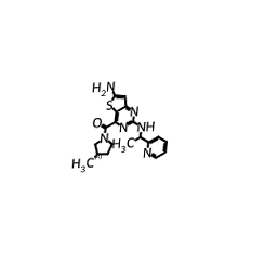 CC(Nc1nc(C(=O)N2CC[C@@H](C)C2)c2sc(N)cc2n1)c1ccccn1